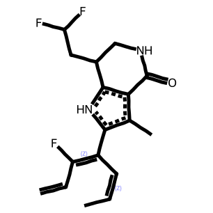 C=C/C(F)=C(\C=C/C)c1[nH]c2c(c1C)C(=O)NCC2CC(F)F